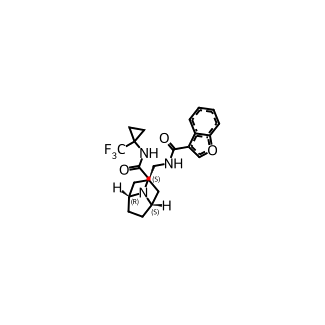 O=C(CN1[C@@H]2CC[C@H]1C[C@H](CNC(=O)c1coc3ccccc13)C2)NC1(C(F)(F)F)CC1